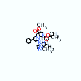 CCOC(=O)C1(Cc2cc(-c3ccccc3)cc(Nc3ccnn3C(C)(C)C)n2)CCN(C(=O)OC(C)(C)C)CC1